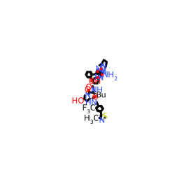 Cc1ncsc1-c1ccc(CNC(=O)[C@@H]2C[C@@H](O)CN2C(=O)[C@@H](NC(=O)[C@H]2CC[C@@H](c3cnc(N4C5CCC4CN(c4cc(-c6ccccc6O)nnc4N)C5)nc3)CC2)C(C)(C)C)c(C(F)(F)F)c1